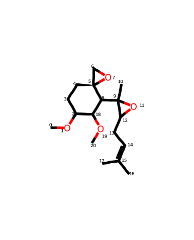 COC1CC[C@]2(CO2)C(C2(C)OC2CC=C(C)C)C1OC